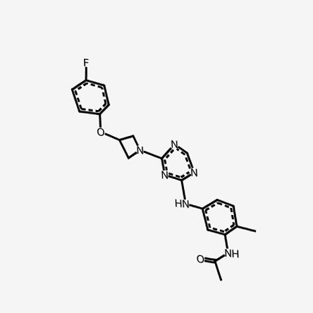 CC(=O)Nc1cc(Nc2ncnc(N3CC(Oc4ccc(F)cc4)C3)n2)ccc1C